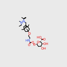 C=C(C)N(CC12CC3(C)CC(OCCNC(=O)OO[C@H]4C[C@@H](O)[C@H](O)[C@@H](C(=O)O)O4)(CC1(C)C3)C2)N(C)CC